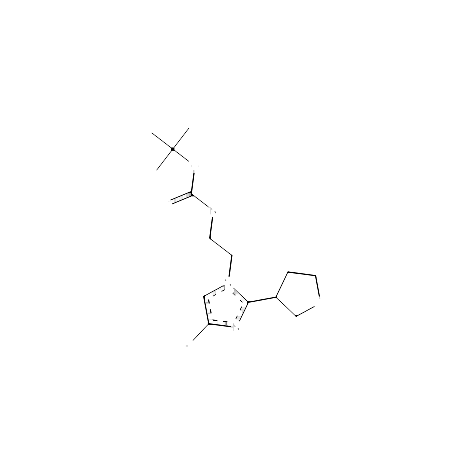 CC(C)(C)OC(=O)NCCn1cc(Br)nc1C1CCOC1